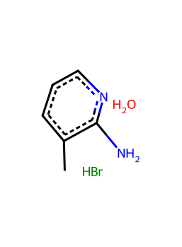 Br.Cc1cccnc1N.O